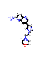 Nc1ccc2ncc(-c3cnn(CCN4CCOCC4)c3)cc2n1